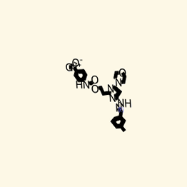 Cc1cccc(/C=N/Nc2cc(N3CCOCC3)nc(CCOC(=O)Nc3ccc([N+](=O)[O-])cc3)n2)c1